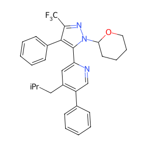 CC(C)Cc1cc(-c2c(-c3ccccc3)c(C(F)(F)F)nn2C2CCCCO2)ncc1-c1ccccc1